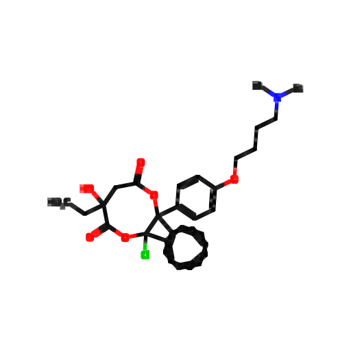 CCN(CC)CCCCOc1ccc(C2(c3ccccc3)OC(=O)CC(O)(CC(=O)O)C(=O)OC2(Cl)c2ccccc2)cc1